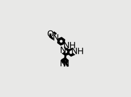 Cn1cc(-c2cnc(Nc3ccc(N4CCOCC4)cc3)c3c2C=CNC3)cn1